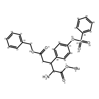 CC(C)(C)OC(=O)C(N)C(CC(=O)OCc1ccccc1)c1ccc(OS(=O)(=O)c2ccccc2)cc1